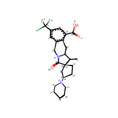 CC1C2Cc3c(cc(C(F)(F)F)cc3C(=O)O)CN2C(=O)[C@]12CC[C@@H](N1CCCCC1)C2